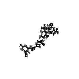 O=c1cc(C(F)(F)F)nc(-c2c(C(F)(F)F)ccc(CNC(=O)[C@H]3C[C@H](OCc4cc(F)cc(Cl)c4)C3)c2F)[nH]1